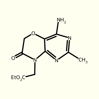 CCOC(=O)CN1C(=O)COc2c(N)nc(C)nc21